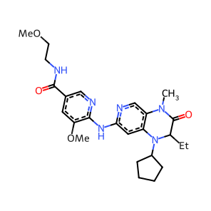 CCC1C(=O)N(C)c2cnc(Nc3ncc(C(=O)NCCOC)cc3OC)cc2N1C1CCCC1